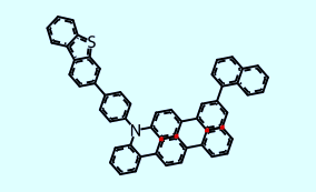 c1ccc(-c2ccc(-c3ccccc3N(c3ccc(-c4cccc(-c5cccc6ccccc56)c4)cc3)c3ccc(-c4ccc5c(c4)sc4ccccc45)cc3)cc2)cc1